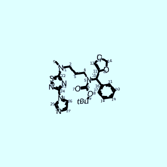 CN(CCCN(C(=O)OC(C)(C)C)C(C1=COCO1)c1ccccc1)c1nc(-n2ccnc2)ns1